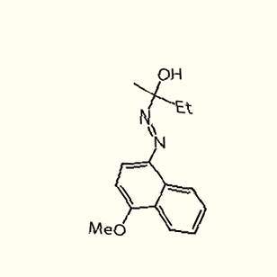 CCC(C)(O)N=Nc1ccc(OC)c2ccccc12